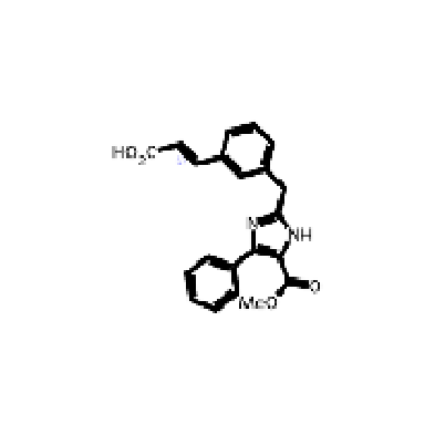 COC(=O)c1[nH]c(Cc2cccc(/C=C/C(=O)O)c2)nc1-c1ccccc1